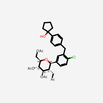 CC(=O)C[C@@H]1[C@@H](OC(C)=O)[C@H](OC(C)=O)[C@@H](COC(C)=O)O[C@H]1c1ccc(Cl)c(Cc2ccc(C3(O)CCCC3)cc2)c1